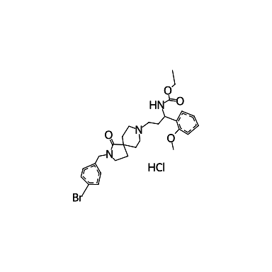 CCOC(=O)NC(CCN1CCC2(CC1)CCN(Cc1ccc(Br)cc1)C2=O)c1ccccc1OC.Cl